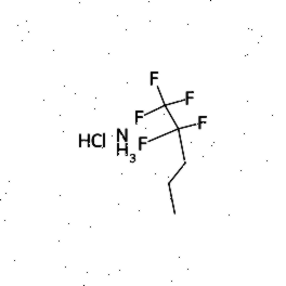 CCCC(F)(F)C(F)(F)F.Cl.N